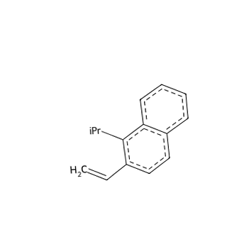 C=Cc1ccc2ccccc2c1C(C)C